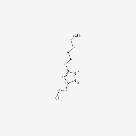 CCCCCCc1cn(CCC)nn1